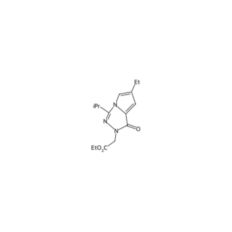 CCOC(=O)Cn1nc(C(C)C)n2cc(CC)cc2c1=O